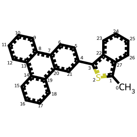 Cc1sc(-c2ccc3c4ccccc4c4ccccc4c3c2)c2ccccc12